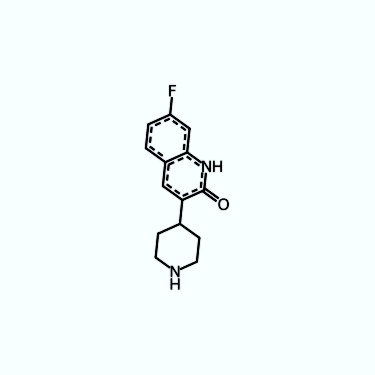 O=c1[nH]c2cc(F)ccc2cc1C1CCNCC1